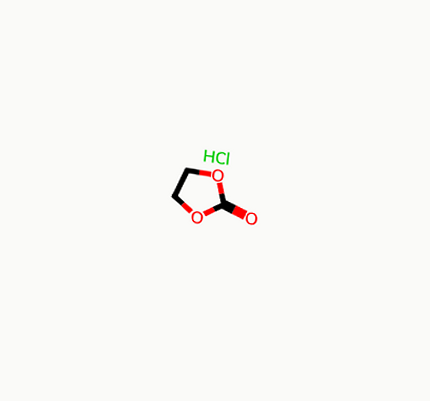 Cl.O=C1OCCO1